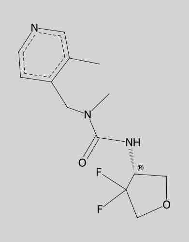 Cc1cnccc1CN(C)C(=O)N[C@@H]1COCC1(F)F